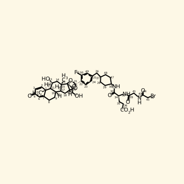 C[C@]12C=CC(=O)C=C1CC[C@@H]1[C@@H]2[C@@H](O)C[C@@]2(C)[C@H]1C[C@H]1O[C@@H](c3ccc(CC4CCC(NC(=O)[C@H](CCC(=O)O)NC(=O)CNC(=O)CBr)CC4)cc3F)O[C@]12C(=O)CO